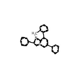 Cc1ccccc1-c1cc(-c2ccccc2)cn2cc(-c3ccccc3)nc12